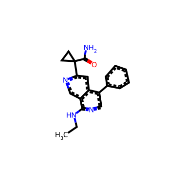 CCNc1ncc(-c2ccccc2)c2cc(C3(C(N)=O)CC3)ncc12